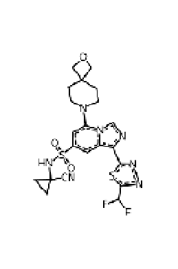 N#CC1(NS(=O)(=O)c2cc(N3CCC4(CC3)COC4)n3cnc(-c4nnc(C(F)F)s4)c3c2)CC1